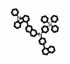 c1ccc(-n2c3ccccc3c3c(-c4ccc5ccc(N(c6ccc(-c7cccc8ccccc78)cc6)c6ccc([Si](c7ccccc7)(c7ccccc7)c7ccccc7)cc6)cc5c4)cccc32)cc1